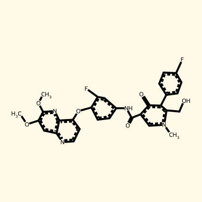 COc1cc2nccc(Oc3ccc(NC(=O)c4cn(C)c(CO)c(-c5ccc(F)cc5)c4=O)cc3F)c2nc1OC